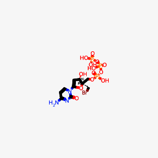 Nc1ccn(C2=C[C@H](O)[C@@](CBr)(COP(=O)(O)OP(=O)(O)OP(=O)(O)O)O2)c(=O)n1